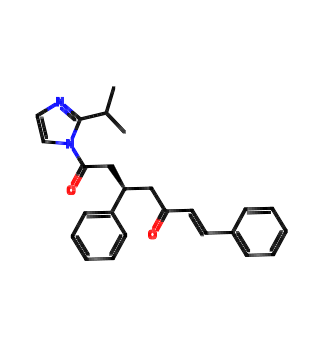 CC(C)c1nccn1C(=O)C[C@@H](CC(=O)/C=C/c1ccccc1)c1ccccc1